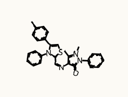 Cc1ccc(C2=CSC(/C=N\c3c(C)n(C)n(-c4ccccc4)c3=O)N2c2ccccc2)cc1